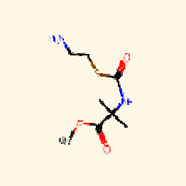 CC(C)(C)OC(=O)C(C)(C)NC(=O)SCCN